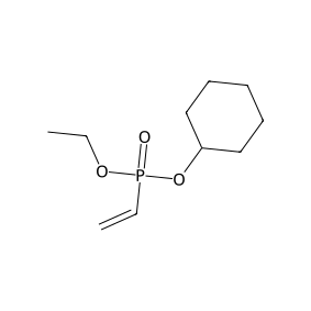 C=CP(=O)(OCC)OC1CCCCC1